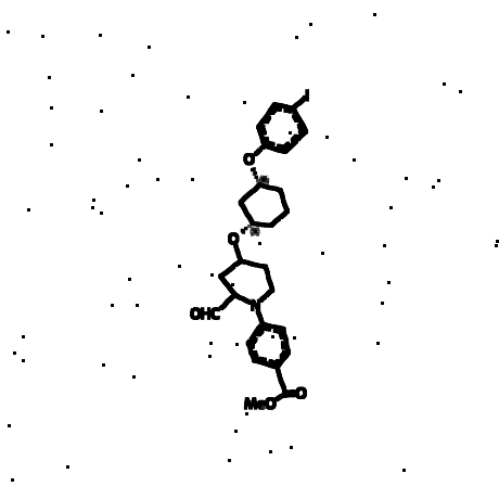 COC(=O)c1ccc(N2CCC(O[C@H]3CCC[C@@H](Oc4ccc(I)cc4)C3)CC2C=O)cc1